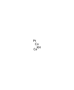 [Ce].[Co].[KH].[Pt]